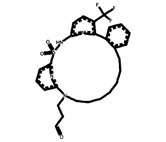 O=CCCN1CCCCCCCc2ccccc2-c2nc(ccc2C(F)(F)F)NS(=O)(=O)c2cccc1n2